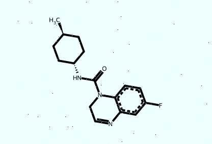 C[C@H]1CC[C@H](NC(=O)N2CC=Nc3cc(F)ccc32)CC1